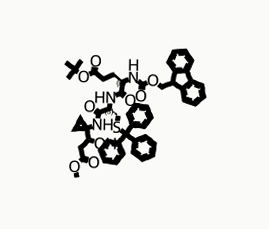 COC(=O)CC(O)C1(NC(=O)[C@@H](CSC(c2ccccc2)(c2ccccc2)c2ccccc2)NC(=O)[C@@H](CCC(=O)OC(C)(C)C)NC(=O)OCC2c3ccccc3-c3ccccc32)CC1